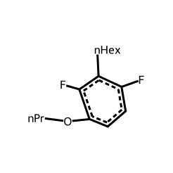 CCCCCCc1c(F)ccc(OCCC)c1F